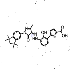 CC1=NN(c2ccc3c(c2)C(C)(C)CC3(C)C)C(=O)/C1=N\Nc1cccc(-c2ccc(C(=O)O)s2)c1O